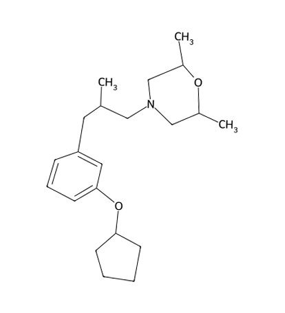 CC(Cc1cccc(OC2CCCC2)c1)CN1CC(C)OC(C)C1